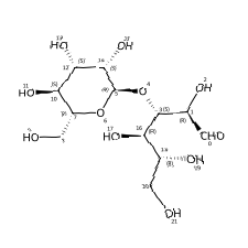 O=C[C@H](O)[C@@H](O[C@H]1O[C@H](CO)[C@@H](O)[C@H](O)[C@@H]1O)[C@H](O)[C@H](O)CO